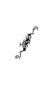 CC(C)CCCC(C)CCc1ccc(-c2nc3c(I)c4c(c(I)c3s2)NC(c2ccc(CCC(C)CCCC(C)C)s2)S4)s1